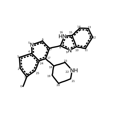 Cc1ccc2ncc(-c3nc4ccccc4[nH]3)c(C3CCCNC3)c2c1